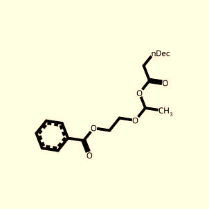 CCCCCCCCCCCC(=O)OC(C)OCCOC(=O)c1ccccc1